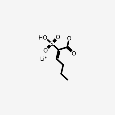 CCC/C=C(\C(=O)[O-])S(=O)(=O)O.[Li+]